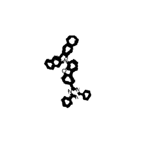 C1=Cc2cc3c4cc5ccccc5cc4n(-c4cccc5c4oc4ccc(-c6nc(-c7ccccc7)nc(-c7ccccc7)n6)cc45)c3cc2C=CC1